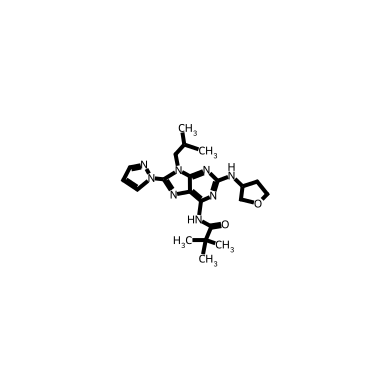 CC(C)Cn1c(-n2cccn2)nc2c(NC(=O)C(C)(C)C)nc(NC3CCOC3)nc21